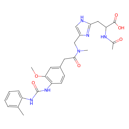 COc1cc(CC(=O)N(C)Cc2c[nH]c(CC(NC(C)=O)C(=O)O)n2)ccc1NC(=O)Nc1ccccc1C